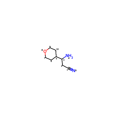 N#CCC(N)C1CCOCC1